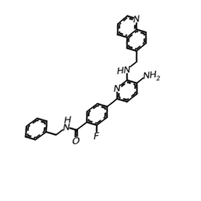 Nc1ccc(-c2ccc(C(=O)NCc3ccccc3)c(F)c2)nc1NCc1ccc2ncccc2c1